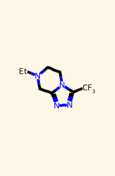 CCN1CCn2c(nnc2C(F)(F)F)C1